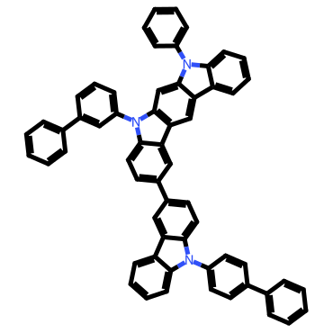 c1ccc(-c2ccc(-n3c4ccccc4c4cc(-c5ccc6c(c5)c5cc7c8ccccc8n(-c8ccccc8)c7cc5n6-c5cccc(-c6ccccc6)c5)ccc43)cc2)cc1